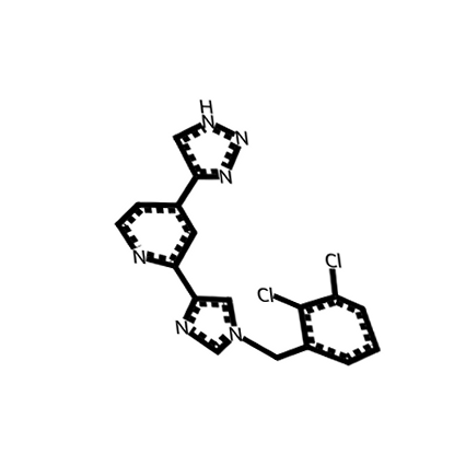 Clc1cccc(Cn2cnc(-c3cc(-c4c[nH]nn4)ccn3)c2)c1Cl